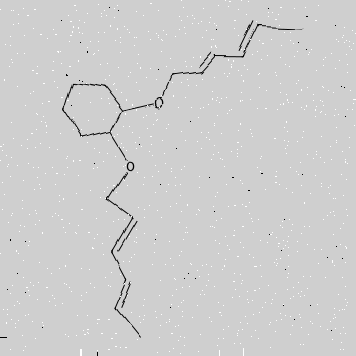 CC=CC=CCOC1CCCCC1OCC=CC=CC